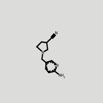 N#CC1CCN(Cc2ccc(N)nc2)C1